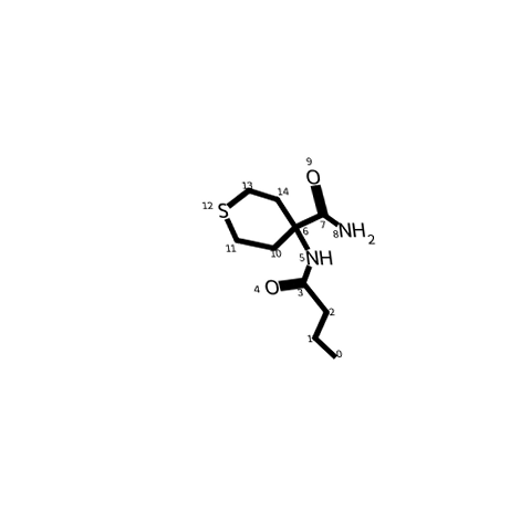 CCCC(=O)NC1(C(N)=O)CCSCC1